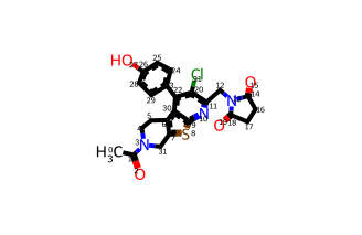 CC(=O)N1CCc2c(sc3nc(CN4C(=O)CCC4=O)c(Cl)c(-c4ccc(O)cc4)c23)C1